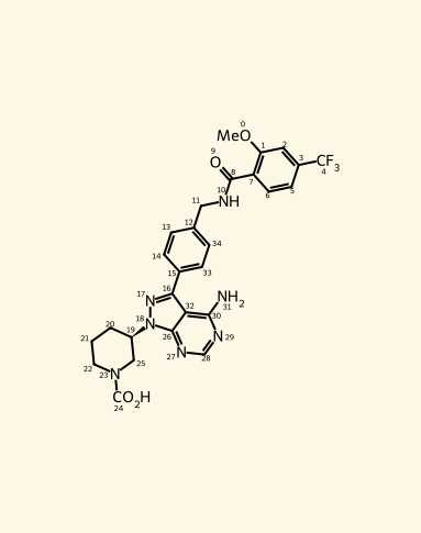 COc1cc(C(F)(F)F)ccc1C(=O)NCc1ccc(-c2nn([C@@H]3CCCN(C(=O)O)C3)c3ncnc(N)c23)cc1